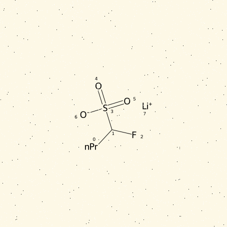 CCCC(F)S(=O)(=O)[O-].[Li+]